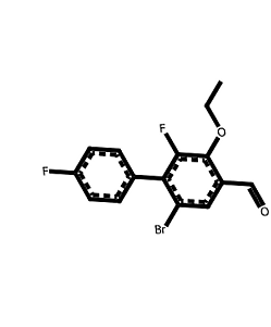 CCOc1c(C=O)cc(Br)c(-c2ccc(F)cc2)c1F